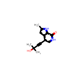 Cc1cc2c(C#CC(C)(C)O)c[nH]c(=O)c2[nH]1